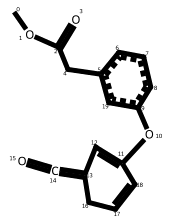 COC(=O)Cc1cccc(OC2=CC(=C=O)CC=C2)c1